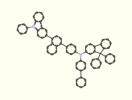 c1ccc(-c2ccc(N(c3ccc(-c4ccc(-c5ccc6c(c5)c5ccccc5n6-c5ccccc5)c5ccccc45)cc3)c3ccc4c(c3)C(c3ccccc3)(c3ccccc3)c3ccccc3-4)cc2)cc1